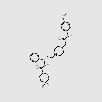 COc1ccc(NC(=O)CC2CCN(CC[C@H](NC(=O)C3CCC(F)(F)CC3)c3ccccc3)CC2)cc1